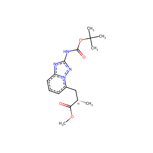 COC(=O)[C@@H](C)Cc1cccc2nc(NC(=O)OC(C)(C)C)nn12